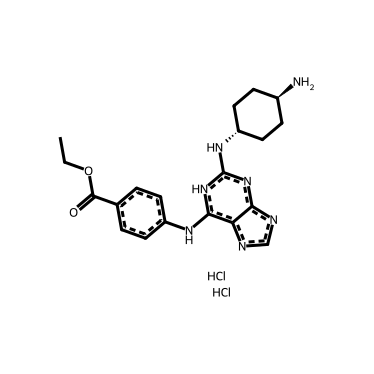 CCOC(=O)c1ccc(Nc2[nH]c(N[C@H]3CC[C@H](N)CC3)nc3ncnc2-3)cc1.Cl.Cl